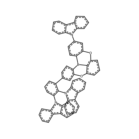 c1cc2c3c(c1)Oc1cc(-n4c5ccccc5c5ccccc54)ccc1B3c1ccc(-c3cccc(-n4c5ccccc5c5ccccc54)c3-n3c4ccccc4c4ccccc43)cc1O2